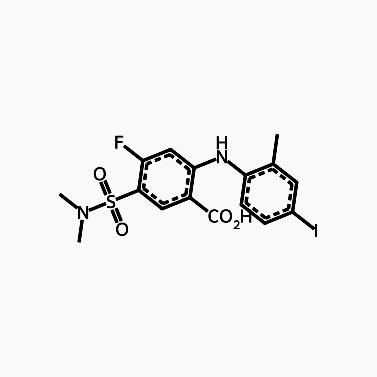 Cc1cc(I)ccc1Nc1cc(F)c(S(=O)(=O)N(C)C)cc1C(=O)O